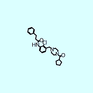 O=C(CCc1ccccc1)Nc1cccc(CN2CCN(C(=O)C3CCCC3)CC2)c1Cl